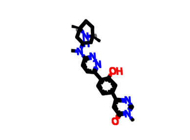 CN(c1ccc(-c2ccc(-c3cc(=O)n(C)cn3)cc2O)nn1)C1C[C@]2(C)CC[C@](C)(C1)N2